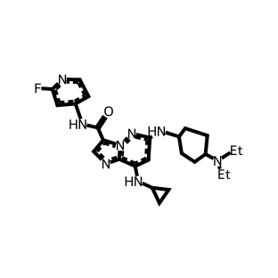 CCN(CC)C1CCC(Nc2cc(NC3CC3)c3ncc(C(=O)Nc4ccnc(F)c4)n3n2)CC1